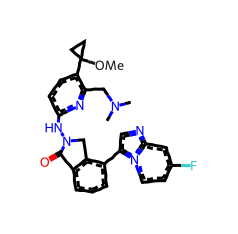 COC1(c2ccc(NN3Cc4c(cccc4-c4cnc5cc(F)ccn45)C3=O)nc2CN(C)C)CC1